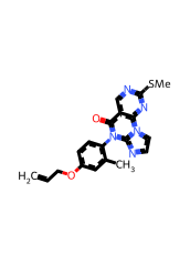 C=CCOc1ccc(-n2c(=O)c3cnc(SC)nc3n3ccnc23)c(C)c1